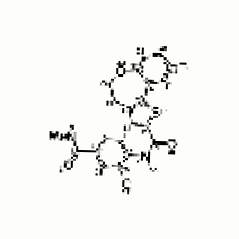 CNC(=O)c1ccc(N(C)C(=O)c2cc3c(s2)-c2cc(C)ccc2OCC3)c(Cl)c1